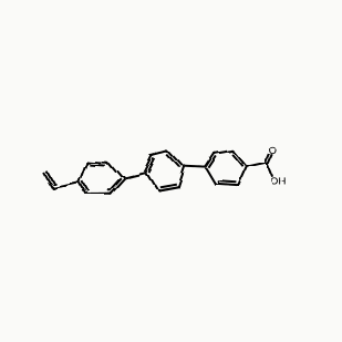 C=Cc1ccc(-c2ccc(-c3ccc(C(=O)O)cc3)cc2)cc1